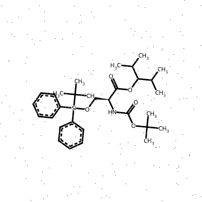 CC(C)C(OC(=O)[C@H](CO[Si](c1ccccc1)(c1ccccc1)C(C)(C)C)NC(=O)OC(C)(C)C)C(C)C